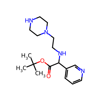 CC(C)(C)OC(=O)C(NCCN1CCNCC1)c1cccnc1